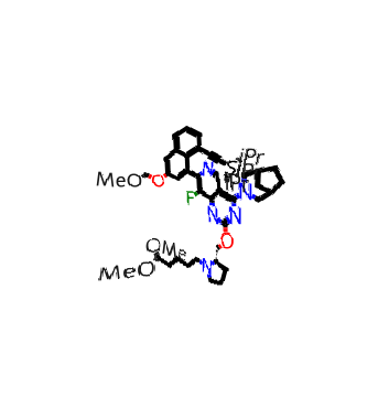 COCOc1cc(-c2ncc3c(N4CC5CCC(C5)C4)nc(OC[C@@H]4CCCN4CCCCC(OC)OC)nc3c2F)c2c(C#C[Si](C(C)C)(C(C)C)C(C)C)cccc2c1